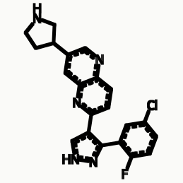 Fc1ccc(Cl)cc1-c1n[nH]cc1-c1ccc2ncc(C3CCNC3)cc2n1